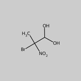 CC(Br)(C(O)O)[N+](=O)[O-]